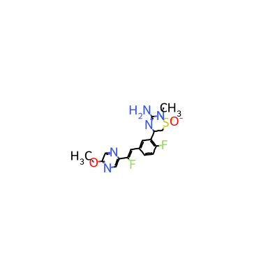 COc1cnc(/C(F)=C/c2ccc(F)c(C3C[S+]([O-])N(C)C(N)=N3)c2)cn1